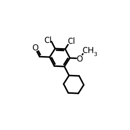 COc1c(C2CCCCC2)cc(C=O)c(Cl)c1Cl